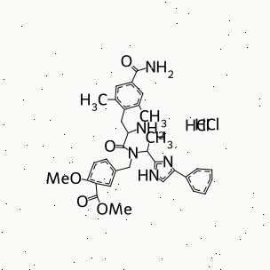 COC(=O)c1cc(CN(C(=O)C(N)Cc2c(C)cc(C(N)=O)cc2C)C(C)c2nc(-c3ccccc3)c[nH]2)ccc1OC.Cl.Cl